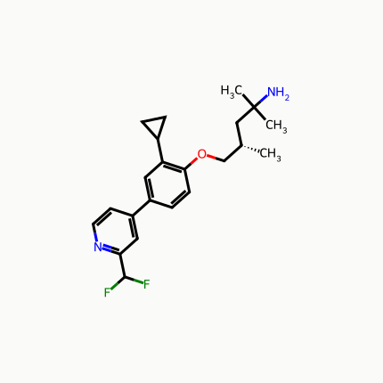 C[C@H](COc1ccc(-c2ccnc(C(F)F)c2)cc1C1CC1)CC(C)(C)N